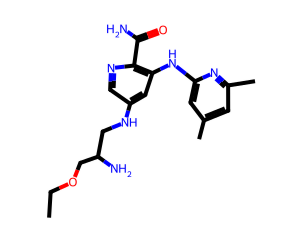 CCOCC(N)CNc1cnc(C(N)=O)c(Nc2cc(C)cc(C)n2)c1